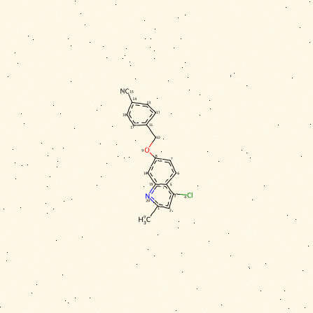 Cc1cc(Cl)c2ccc(OCc3ccc(C#N)cc3)cc2n1